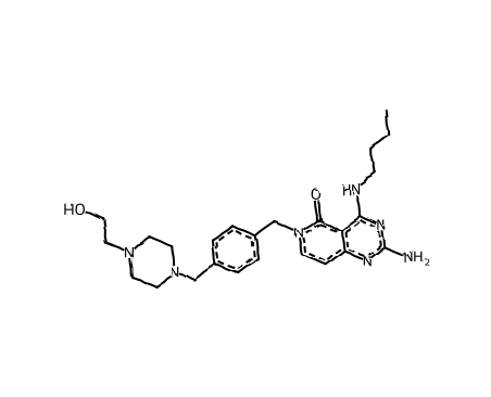 CCCCNc1nc(N)nc2ccn(Cc3ccc(CN4CCN(CCO)CC4)cc3)c(=O)c12